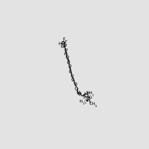 CCCN(OCC)C(=O)C1=Cc2sc(CN3CCN(CCOCCOCCOCCOCCOCCOCCOCCOCCOCCOCCC(=O)Oc4c(F)c(F)cc(F)c4F)CC3)cc2N=C(N)C1